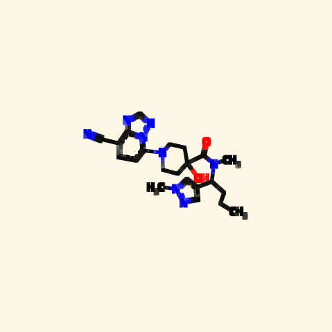 CCCC(c1cnn(C)c1)N(C)C(=O)C1(O)CCN(c2ccc(C#N)c3ncnn23)CC1